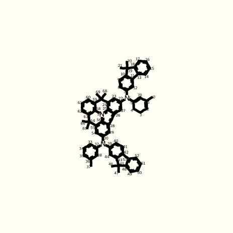 CC1=CCCC(N(c2ccc3c(c2)-c2ccccc2C3(C)C)c2cc3c4c(c2)c2cc(N(c5cccc(C)c5)c5ccc6c(c5)C(C)(C)c5ccccc5-6)cc5c2n4-c2c(cccc2C5(C)C)C3(C)C)=C1